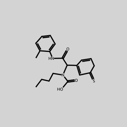 CCCCN(C(=O)O)C(C(=O)Nc1ccccc1C)C1=CC(=S)CC=C1